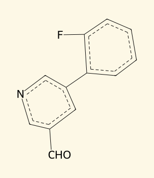 O=Cc1cncc(-c2ccccc2F)c1